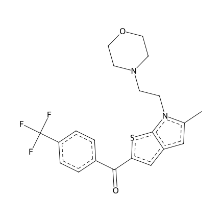 Cc1cc2cc(C(=O)c3ccc(C(F)(F)F)cc3)sc2n1CCN1CCOCC1